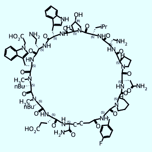 CCCC[C@H]1C(=O)N(C)[C@@H](CCCC)C(=O)N[C@@H](CCC(=O)O)C(=O)N[C@H](C(N)=O)CCCC(=O)N[C@@H](Cc2ccc(F)cc2)C(=O)N2CCCC[C@H]2C(=O)N[C@@H](CC(N)=O)C(=O)N2CCC[C@H]2C(=O)N[C@@H](CN)C(=O)N[C@@H](CC(C)C)C(=O)N2C[C@H](O)C[C@H]2C(=O)N[C@@H](Cc2c[nH]c3ccccc23)C(=O)N[C@@H](CCN)C(=O)N[C@@H](Cc2cn(CC(=O)O)c3ccccc23)C(=O)N1C